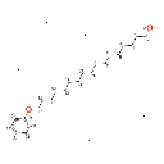 OCCCCCCCCCCCCCCCCCOc1ccccc1